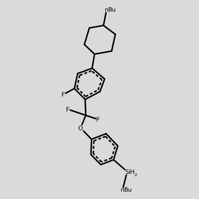 CCCC[SiH2]c1ccc(OC(F)(F)c2ccc(C3CCC(CCCC)CC3)cc2F)cc1